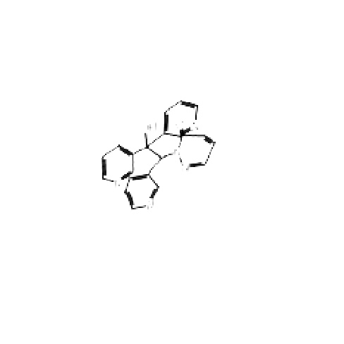 O=c1cccnn1C(c1cccnc1)C(O)(c1cccnc1)c1cccnc1